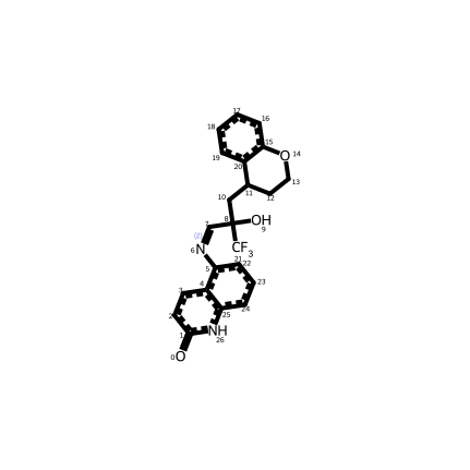 O=c1ccc2c(/N=C\C(O)(CC3CCOc4ccccc43)C(F)(F)F)cccc2[nH]1